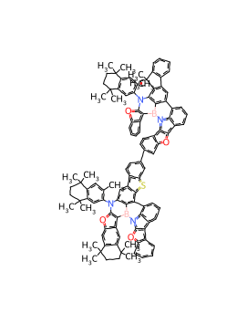 Cc1cc2c(cc1N1c3cc4c(sc5cc(-c6ccc7c(c6)oc6c8cccc9c8n(c76)B6c7c-9cc8c(c7N(c7cc9c(cc7C)C(C)(C)CCC9(C)C)c7oc9ccccc9c76)C(C)(C)c6ccccc6-8)ccc54)c4c3B(c3c1oc1cc5c(cc31)C(C)(C)CCC5(C)C)n1c3oc5ccccc5c3c3cccc-4c31)C(C)(C)CCC2(C)C